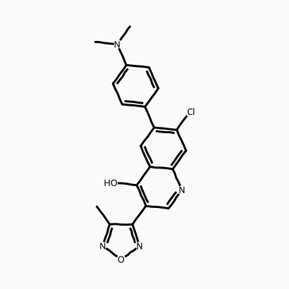 Cc1nonc1-c1cnc2cc(Cl)c(-c3ccc(N(C)C)cc3)cc2c1O